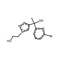 CC(O)(c1cn(CCO)nn1)c1cccc(Br)n1